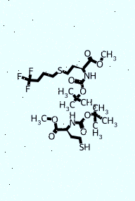 COC(=O)[C@H](CCS)NC(=O)OC(C)(C)C.COC(=O)[C@H](CCSCCCC(F)(F)F)NC(=O)OC(C)(C)C